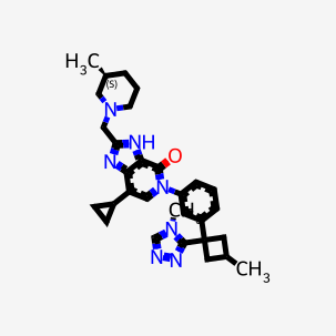 CC1CC(c2cccc(-n3cc(C4CC4)c4nc(CN5CCC[C@H](C)C5)[nH]c4c3=O)c2)(c2nncn2C)C1